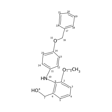 COc1cccc(CO)c1Nc1ccc(OCc2ccccc2)cc1